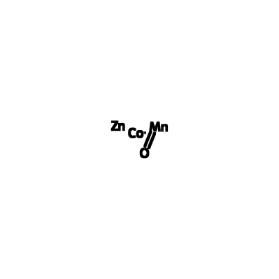 [Co].[O]=[Mn].[Zn]